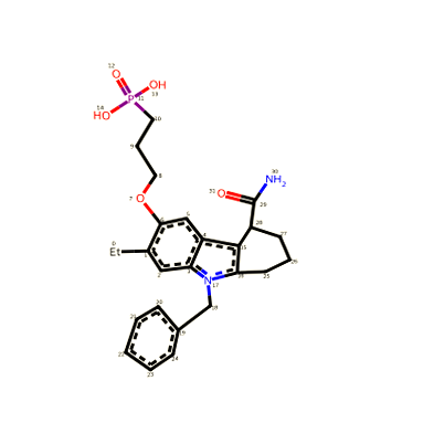 CCc1cc2c(cc1OCCCP(=O)(O)O)c1c(n2Cc2ccccc2)CCCC1C(N)=O